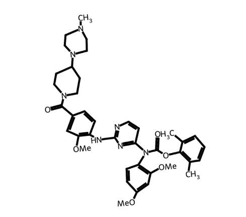 COc1ccc(N(C(=O)Oc2c(C)cccc2C)c2ccnc(Nc3ccc(C(=O)N4CCC(N5CCN(C)CC5)CC4)cc3OC)n2)c(OC)c1